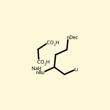 O=C(O)CC(=O)O.[Li][CH2]C(CCCC)CCCCCCCCCCCC.[NaH]